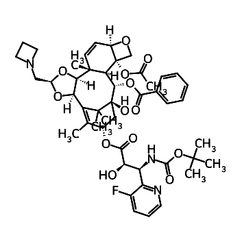 CC(=O)O[C@@]12CO[C@@H]1C=C[C@@]1(C)[C@@H]3O[C@H](CN4CCC4)O[C@@H]3C3=C(C)[C@@H](OC(=O)[C@H](O)[C@@H](NC(=O)OC(C)(C)C)c4ncccc4F)C[C@@](O)([C@@H](OC(=O)c4ccccc4)[C@@H]12)C3(C)C